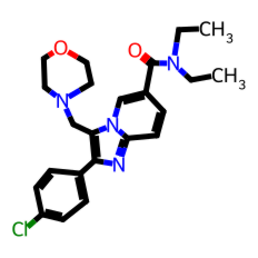 CCN(CC)C(=O)c1ccc2nc(-c3ccc(Cl)cc3)c(CN3CCOCC3)n2c1